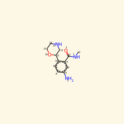 CNC(=O)c1cc(N)ccc1C1CNCCO1